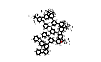 CC(C)(C)c1ccc2c(c1)c1cc(C(C)(C)C)ccc1n2-c1ccc2c(c1)N(c1cc(-c3ccccc3)cc(-c3ccccc3)c1)c1cc(-n3c4ccc(C(C)(C)C)cc4c4cc(C(C)(C)C)ccc43)cc3c1B2c1ccc(-n2c4ccccc4c4cc(-n5c6ccccc6c6ccccc65)ccc42)cc1N3c1cc(-c2ccccc2)cc(-c2ccccc2)c1